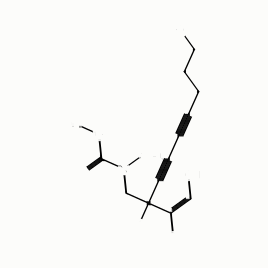 C/C=C(/F)C(C)(C#CC#CCCCO)CN(CCCC)C(=O)OC(C)(C)C